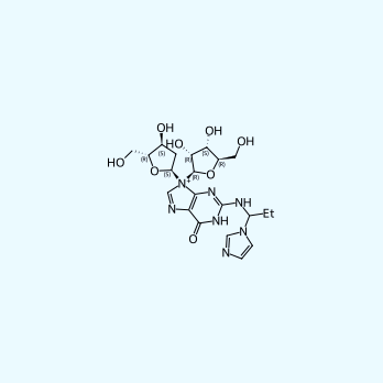 CCC(Nc1nc2c(c(=O)[nH]1)N=C[N+]2([C@@H]1C[C@H](O)[C@@H](CO)O1)[C@@H]1O[C@H](CO)[C@@H](O)[C@H]1O)n1ccnc1